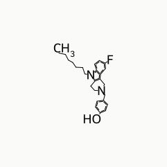 CCCCCCCCn1c2c(c3cc(F)ccc31)CN(Cc1ccc(O)cc1)CC2